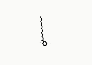 CCCCCCCCCCCCCC(=O)c1cc(O)ccc1O